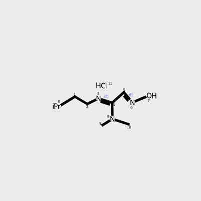 CC(C)CC/N=C(/C=N/O)N(C)C.Cl